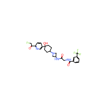 O=C(CNC(=O)c1cccc(C(F)(F)F)c1)NC1CN(C2CCC(O)(c3ccc(C(=O)CF)nc3)CC2)C1